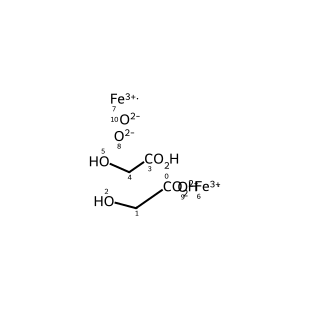 O=C(O)CO.O=C(O)CO.[Fe+3].[Fe+3].[O-2].[O-2].[O-2]